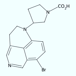 O=C(O)N1CCC(N2CCc3cncc4c(Br)ccc2c34)C1